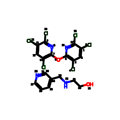 Clc1cc(Cl)c(Oc2nc(Cl)c(Cl)cc2Cl)nc1Cl.OCCNCc1cccnc1